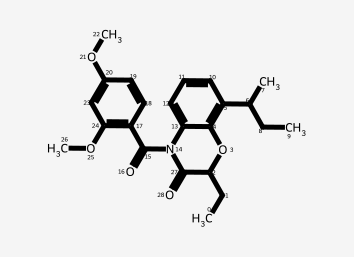 CCC1Oc2c(C(C)CC)cccc2N(C(=O)c2ccc(OC)cc2OC)C1=O